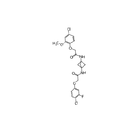 COc1cc(Cl)ccc1OCC(=O)NC12CC(NC(=O)COc3ccc(Cl)c(F)c3)(C1)C2